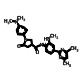 CNc1cc(-c2nc(C)cc(C)n2)ccc1NC(=O)C1CC(=O)N(c2ccc(N(C)C)cc2)C1